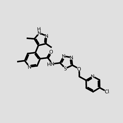 Cc1cc(-c2c(C)n[nH]c2C)c(C(=O)Nc2nnc(OCc3ccc(Cl)cn3)s2)cn1